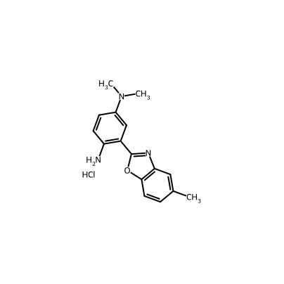 Cc1ccc2oc(-c3cc(N(C)C)ccc3N)nc2c1.Cl